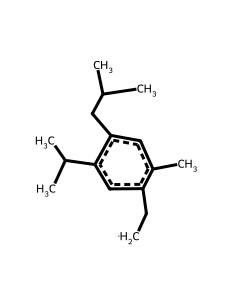 [CH2]Cc1cc(C(C)C)c(CC(C)C)cc1C